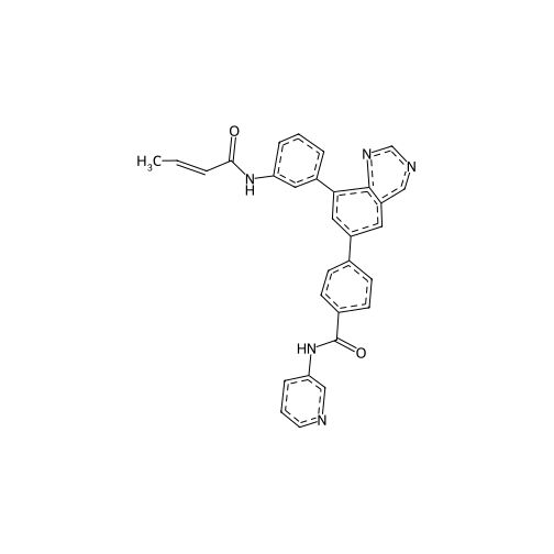 C/C=C/C(=O)Nc1cccc(-c2cc(-c3ccc(C(=O)Nc4cccnc4)cc3)cc3cncnc23)c1